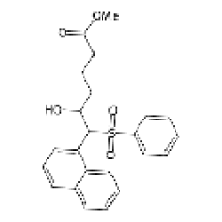 COC(=O)CCCC(O)C(c1cccc2ccccc12)S(=O)(=O)c1ccccc1